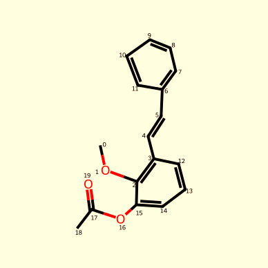 COc1c(C=Cc2ccccc2)cccc1OC(C)=O